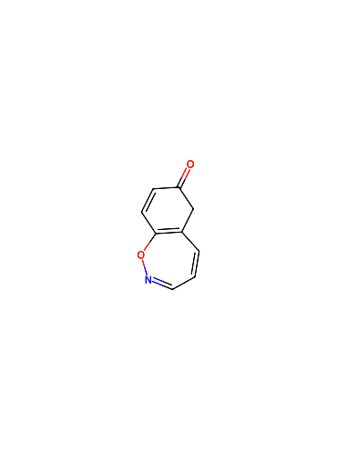 O=C1C=CC2=C(C=CC=NO2)C1